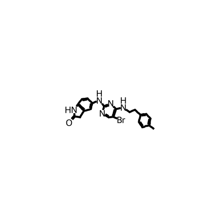 Cc1ccc(CCNc2nc(Nc3ccc4c(c3)CC(=O)N4)ncc2Br)cc1